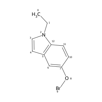 CCn1ccc2cc(OBr)ccc21